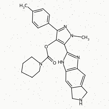 Cc1ccc(-c2nn(C)c(-c3nc4cc5c(cc4[nH]3)CNC5)c2OC(=O)N2CCCCC2)cc1